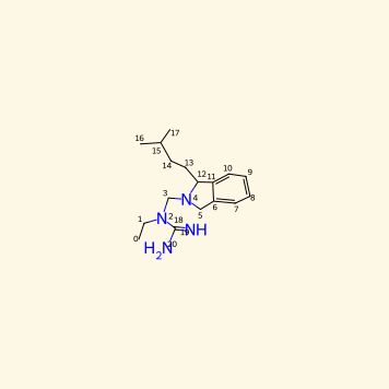 CCN(CN1Cc2ccccc2C1CCC(C)C)C(=N)N